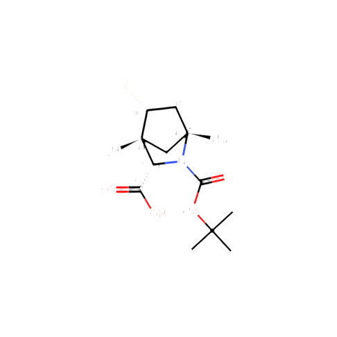 CC(C)(C)OC(=O)N1[C@@H]2C[C@@H]([C@H](F)C2)[C@H]1C(=O)O